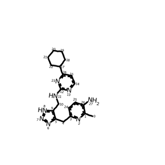 Cc1nc(Cc2nn[nH]c2CNc2nccc(C3CCCCC3)n2)ccc1N